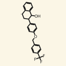 OC1c2ccccc2[CH]CC1c1ccc(OCc2ccc(C(F)(F)F)cc2)cc1